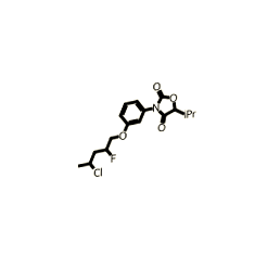 CC(Cl)CC(F)COc1cccc(N2C(=O)OC(C(C)C)C2=O)c1